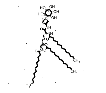 CCCCCCCCCCCCC(=O)N[C@H](CSC[C@@H](COC(=O)CCCCCCCCCCCC)OC(=O)CCCCCCCCCCCC)C(=O)Nc1cn([C@@H]2[C@H](O)[C@H](O)[C@@H](O)[C@H](O)[C@H]2O)nn1